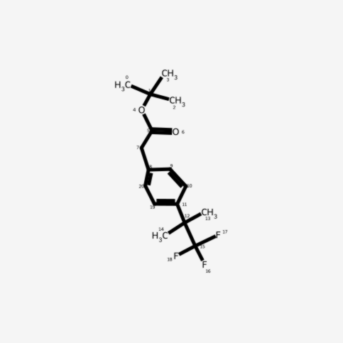 CC(C)(C)OC(=O)Cc1ccc(C(C)(C)C(F)(F)F)cc1